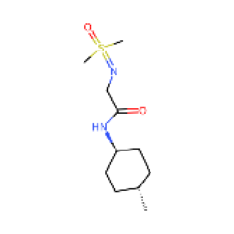 CS(C)(=O)=NCC(=O)N[C@H]1CC[C@H](C)CC1